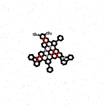 CC(C)(C)c1cc(-c2ccc3c(c2)N(c2c(-c4ccccc4)cc(-c4ccccc4)cc2-c2ccccc2)c2cc(-c4ccc5c(c4)c4cccc6c7ccccc7n5c64)cc4c2B3c2ccc(-n3c5ccccc5c5ccccc53)cc2N4c2c(-c3ccccc3)cc(-c3ccccc3)cc2-c2ccccc2)cc(C(C)(C)C)c1